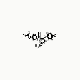 CCC(=O)O[C@H]1CC[C@H](Nc2nc(N)ncc2Sc2ccc(Cl)cc2)CC1